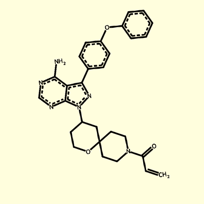 C=CC(=O)N1CCC2(CC1)CC(n1nc(-c3ccc(Oc4ccccc4)cc3)c3c(N)ncnc31)CCO2